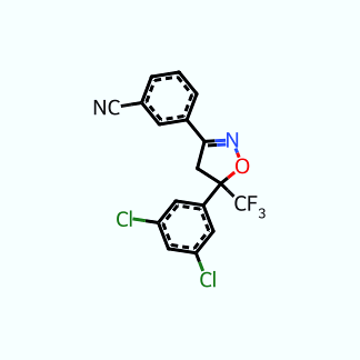 N#Cc1cccc(C2=NOC(c3cc(Cl)cc(Cl)c3)(C(F)(F)F)C2)c1